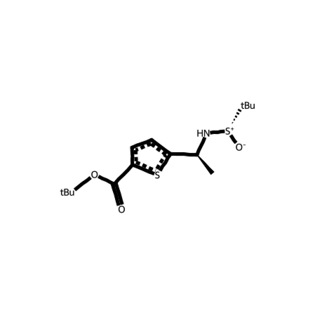 C[C@H](N[S@@+]([O-])C(C)(C)C)c1ccc(C(=O)OC(C)(C)C)s1